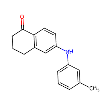 Cc1cccc(Nc2ccc3c(c2)CCCC3=O)c1